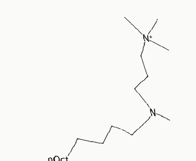 CCCCCCCCCCCCN(C)CCC[N+](C)(C)C